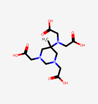 CC1(N(CC(=O)O)CC(=O)O)CN(CC(=O)O)CN(CC(=O)O)C1